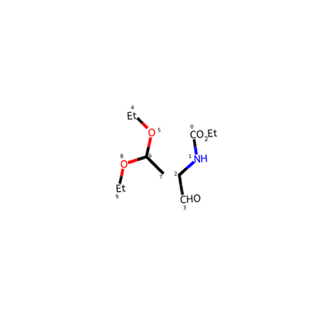 CCOC(=O)NCC=O.CCOC(C)OCC